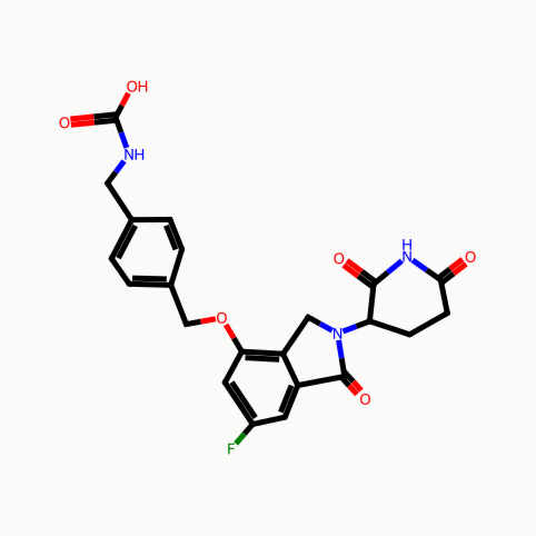 O=C(O)NCc1ccc(COc2cc(F)cc3c2CN(C2CCC(=O)NC2=O)C3=O)cc1